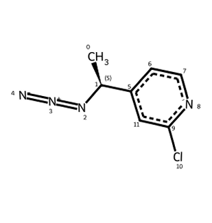 C[C@H](N=[N+]=[N-])c1ccnc(Cl)c1